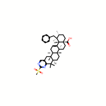 C[C@@H]1CC[C@]2(C(=O)O)CC[C@]3(C)C(=CC[C@@H]4[C@@]5(C)Cc6cnc(S(C)(=O)=O)nc6C(C)(C)[C@@H]5CC[C@]43C)[C@@H]2[C@@]1(C)Cc1ccccc1